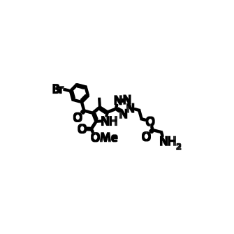 COC(=O)c1[nH]c(-c2nnn(CCOC(=O)CN)n2)c(C)c1C(=O)c1cccc(Br)c1